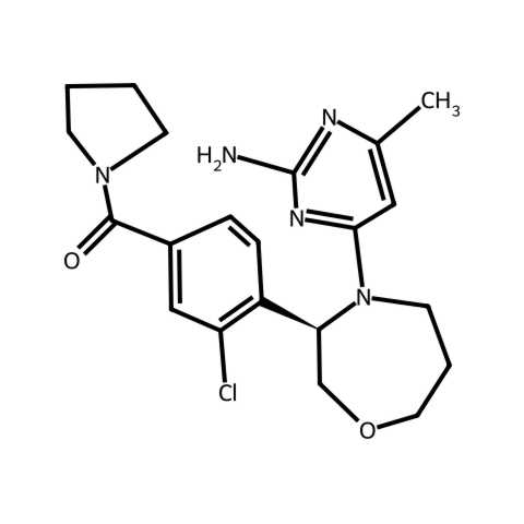 Cc1cc(N2CCCOC[C@H]2c2ccc(C(=O)N3CCCC3)cc2Cl)nc(N)n1